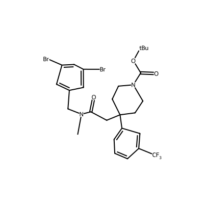 CN(Cc1cc(Br)cc(Br)c1)C(=O)CC1(c2cccc(C(F)(F)F)c2)CCN(C(=O)OC(C)(C)C)CC1